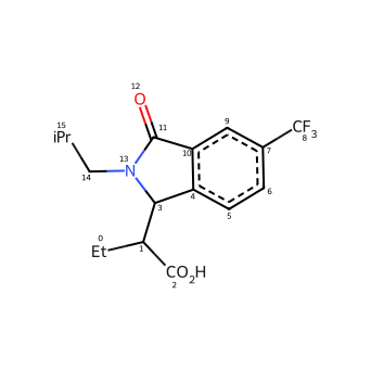 CCC(C(=O)O)C1c2ccc(C(F)(F)F)cc2C(=O)N1CC(C)C